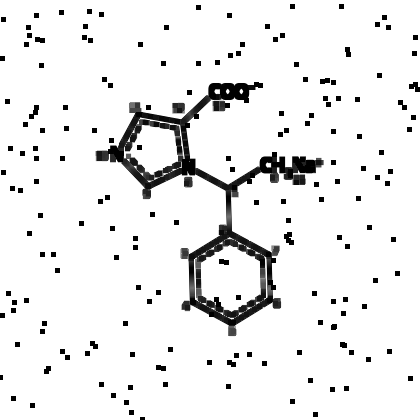 CC(c1ccccc1)n1cncc1C(=O)[O-].[Na+]